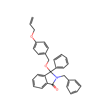 C=CCOc1ccc(COC2(c3ccccc3)c3ccccc3C(=O)N2Cc2ccccc2)cc1